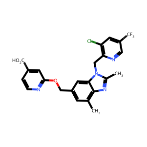 Cc1cc(COc2cc(C(=O)O)ccn2)cc2c1nc(C)n2Cc1ncc(C(F)(F)F)cc1Cl